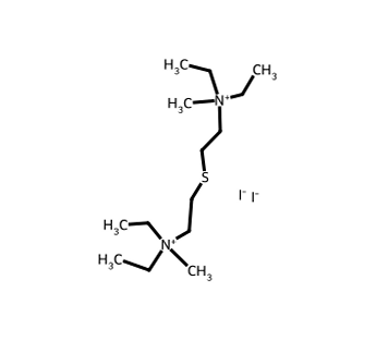 CC[N+](C)(CC)CCSCC[N+](C)(CC)CC.[I-].[I-]